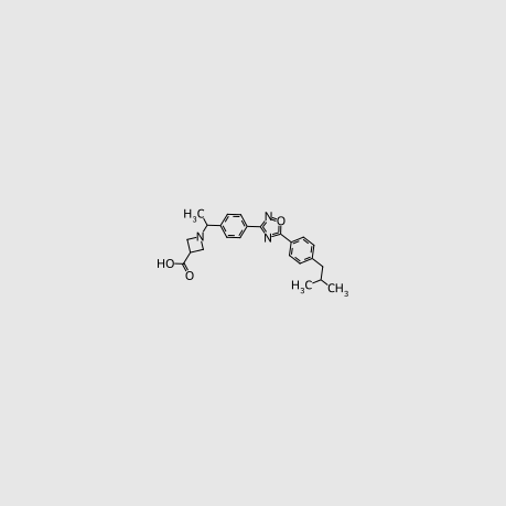 CC(C)Cc1ccc(-c2nc(-c3ccc(C(C)N4CC(C(=O)O)C4)cc3)no2)cc1